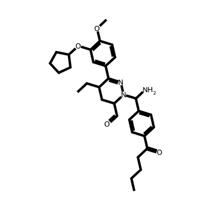 CCCCC(=O)c1ccc(C(N)N2N=C(c3ccc(OC)c(OC4CCCC4)c3)C(CC)CC2C=O)cc1